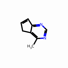 Cc1ncnc2c1CC=C2